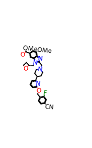 COC(=O)c1cc(OC)c2nc(CN3CCC(c4cccc(OCc5ccc(C#N)cc5F)n4)CC3)n(C[C@@H]3CCO3)c2c1